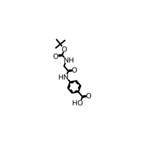 CC(C)(C)OC(=O)NCC(=O)Nc1ccc(C(=O)O)cc1